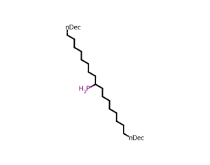 CCCCCCCCCCCCCCCCCCC(P)CCCCCCCCCCCCCCCCCC